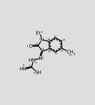 CCN1C(=O)/C(=N\NC(=N)S)c2cc(C)ccc21